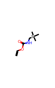 C=COC(=O)NC[Si](C)(C)C